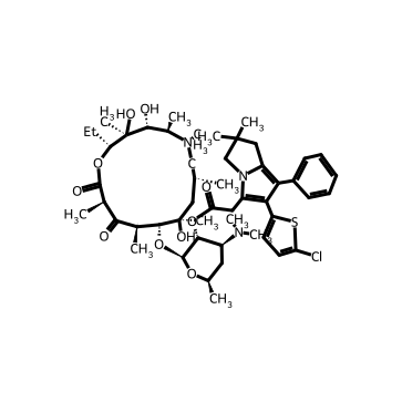 CC[C@H]1OC(=O)[C@H](C)C(=O)[C@H](C)[C@@H](O[C@@H]2O[C@H](C)C[C@H](N(C)C)[C@H]2OC(=O)Cc2c(-c3ccc(Cl)s3)c(-c3ccccc3)c3n2CC(C)(C)C3)[C@](C)(O)C[C@@H](C)CN(C)[C@H](C)[C@@H](O)[C@]1(C)O